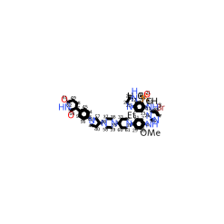 CCc1cc(Nc2ncc(Br)c(Nc3ccc4c(c3P(C)(C)=O)NCC=N4)n2)c(OC)cc1N1CCC(N2CCN(C3CCN(c4ccc(C5CCC(=O)NC5=O)cc4)C3)CC2)CC1